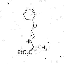 CCOC(=O)[C@H](C)NCCOc1ccccc1